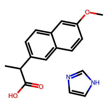 COc1ccc2cc(C(C)C(=O)O)ccc2c1.c1c[nH]cn1